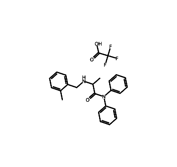 Cc1ccccc1CNC(C)C(=O)N(c1ccccc1)c1ccccc1.O=C(O)C(F)(F)F